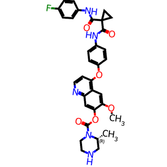 COc1cc2c(Oc3ccc(NC(=O)C4(C(=O)Nc5ccc(F)cc5)CC4)cc3)ccnc2cc1OC(=O)N1CCNC[C@H]1C